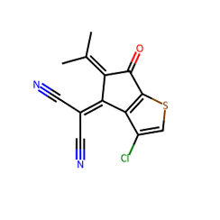 CC(C)=C1C(=O)c2scc(Cl)c2C1=C(C#N)C#N